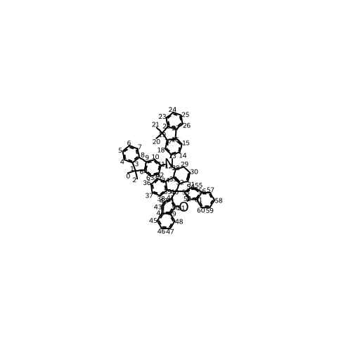 CC1(C)c2ccccc2-c2cc(N(c3ccc4c(c3)C(C)(C)c3ccccc3-4)C3CC=CC4=C3c3ccccc3C43c4ccc5ccccc5c4Oc4c3ccc3ccccc43)ccc21